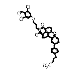 CCCCc1ccc(-c2ccc3oc4ccc5c(=O)n(CCCOc6cc(Cl)c(C=O)c(Cl)c6)c(=O)c6ccc(c3c2)c4c56)cc1